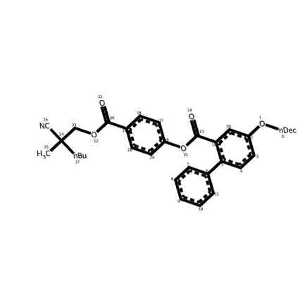 CCCCCCCCCCOc1ccc(-c2ccccc2)c(C(=O)Oc2ccc(C(=O)OCC(C)(C#N)CCCC)cc2)c1